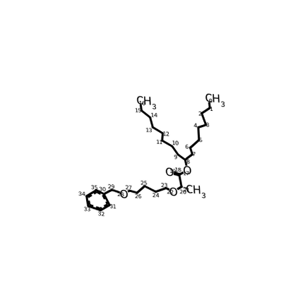 CCCCCCCCC(CCCCCCCC)OC(=O)[C@H](C)OCCCCCOCc1ccccc1